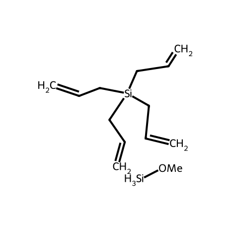 C=CC[Si](CC=C)(CC=C)CC=C.CO[SiH3]